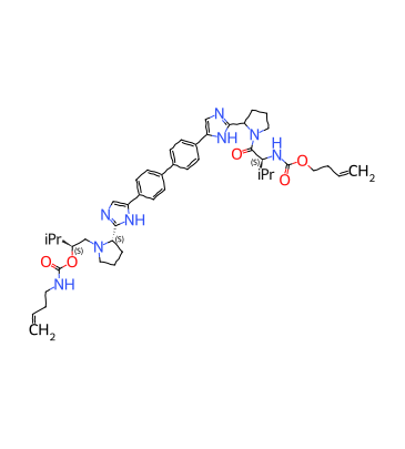 C=CCCNC(=O)O[C@H](CN1CCC[C@H]1c1ncc(-c2ccc(-c3ccc(-c4cnc(C5CCCN5C(=O)[C@@H](NC(=O)OCCC=C)C(C)C)[nH]4)cc3)cc2)[nH]1)C(C)C